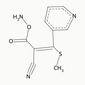 CSC(=C(C#N)C(=O)ON)c1cccnc1